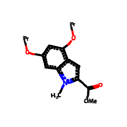 COC(=O)c1cc2c(OC(C)C)cc(OC(C)C)cc2n1C